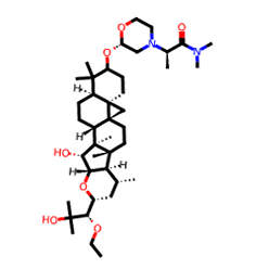 CCO[C@@H]([C@H]1C[C@@H](C)[C@H]2[C@H](O1)[C@H](O)[C@@]1(C)[C@@H]3CC[C@H]4C(C)(C)C(O[C@H]5CN([C@H](C)C(=O)N(C)C)CCO5)CC[C@@]45C[C@@]35CC[C@]21C)C(C)(C)O